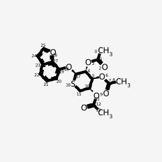 CC(=O)O[C@@H]1[C@@H](OC(C)=O)[C@H](OC(C)=O)CS[C@H]1Oc1cccc2ccoc12